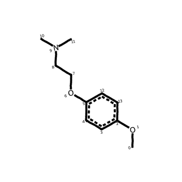 COc1c[c]c(OCCN(C)C)cc1